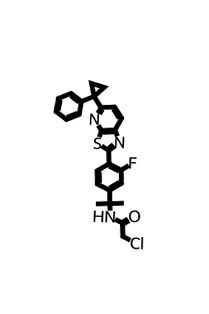 CC(C)(NC(=O)CCl)c1ccc(-c2nc3ccc(C4(c5ccccc5)CC4)nc3s2)c(F)c1